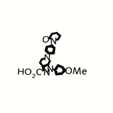 COc1ccc(-n2nc(C(=O)O)c3c2CN(c2ccc(N4CCCCC4=O)cc2)CC3)cc1